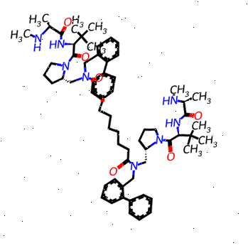 CN[C@@H](C)C(=O)N[C@H](C(=O)N1CCC[C@H]1CN(Cc1ccccc1-c1ccccc1)C(=O)CCCCCCCCC(=O)N(Cc1ccccc1-c1ccccc1)C[C@@H]1CCCN1C(=O)[C@@H](NC(=O)[C@H](C)NC)C(C)(C)C)C(C)(C)C